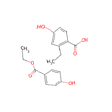 CCOC(=O)c1ccc(O)cc1.CCc1cc(O)ccc1C(=O)O